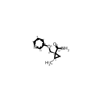 C[C@H]1C[C@@]1(COc1cccnc1)C(N)=O